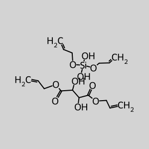 C=CCOC(=O)C(O)C(O)C(=O)OCC=C.C=CCO[Si](O)(O)OCC=C